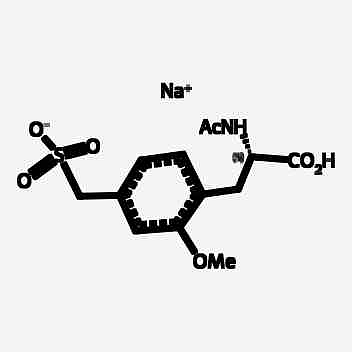 COc1cc(CS(=O)(=O)[O-])ccc1C[C@H](NC(C)=O)C(=O)O.[Na+]